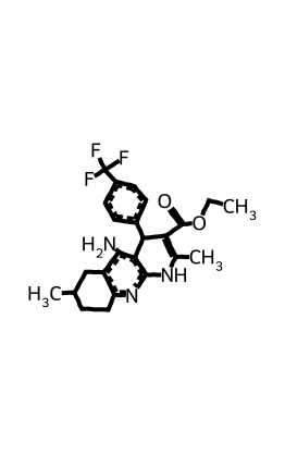 CCOC(=O)C1=C(C)Nc2nc3c(c(N)c2C1c1ccc(C(F)(F)F)cc1)CC(C)CC3